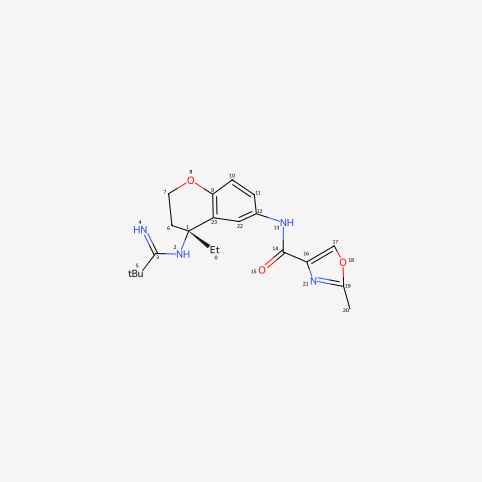 CC[C@@]1(NC(=N)C(C)(C)C)CCOc2ccc(NC(=O)c3coc(C)n3)cc21